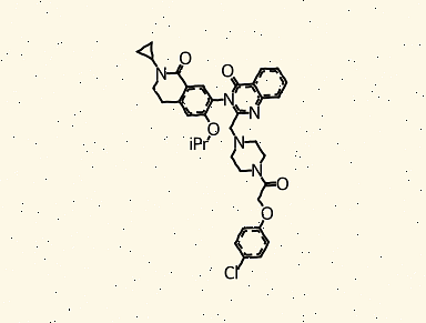 CC(C)Oc1cc2c(cc1-n1c(CN3CCN(C(=O)COc4ccc(Cl)cc4)CC3)nc3ccccc3c1=O)C(=O)N(C1CC1)CC2